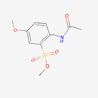 COc1ccc(NC(C)=O)c(S(=O)(=O)OC)c1